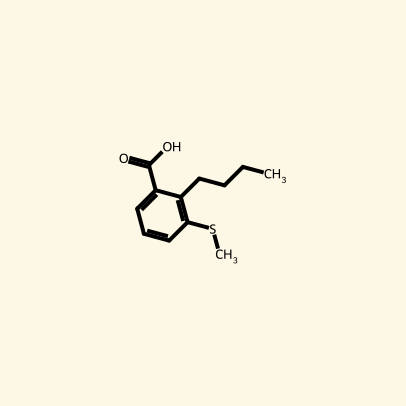 CCCCc1c(SC)cccc1C(=O)O